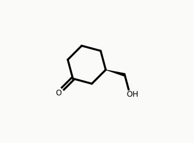 O=C1CCC[C@@H](CO)C1